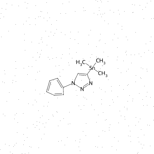 [CH3][Sn]([CH3])([CH3])[c]1cn(-c2ccccc2)nn1